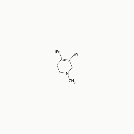 CC(C)C1=C(C(C)C)CN(C)CC1